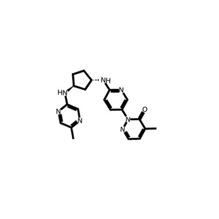 Cc1cnc(N[C@H]2CC[C@H](Nc3ccc(-n4nccc(C)c4=O)cn3)C2)cn1